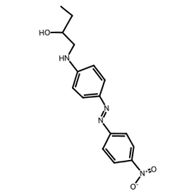 CCC(O)CNc1ccc(N=Nc2ccc([N+](=O)[O-])cc2)cc1